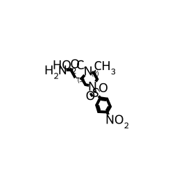 C[C@@H]1CN(S(=O)(=O)c2ccc([N+](=O)[O-])cc2)C[C@H](CC(N)=O)N1C(=O)O